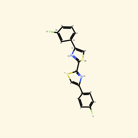 Fc1ccc(-c2csc(-c3nc(-c4cccc(F)c4)cs3)n2)cc1